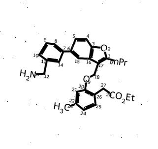 CCCc1oc2ccc(-c3cccc(CN)c3)cc2c1COc1cc(C)ccc1CC(=O)OCC